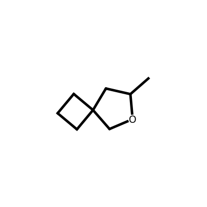 CC1CC2(CCC2)CO1